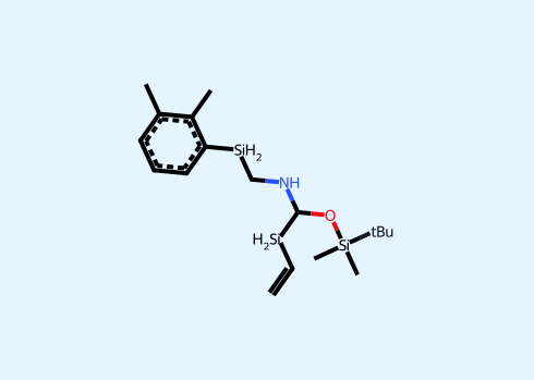 C=C[SiH2]C(NC[SiH2]c1cccc(C)c1C)O[Si](C)(C)C(C)(C)C